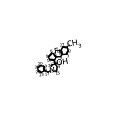 Cc1ccc(Cc2ccccc2C2(O)CCN(Cc3ccccc3)C2)c(F)c1